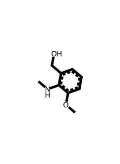 CNc1c(CO)cccc1OC